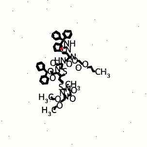 CCCCOC(=O)CO/N=C(\C(=O)NC1C(=O)N2C(C(=O)OC(c3ccccc3)c3ccccc3)=C(/C=C/Sc3nn(CC(OCC)OCC)c(=O)c(=O)n3C)CSC12)c1csc(NC(c2ccccc2)(c2ccccc2)c2ccccc2)n1